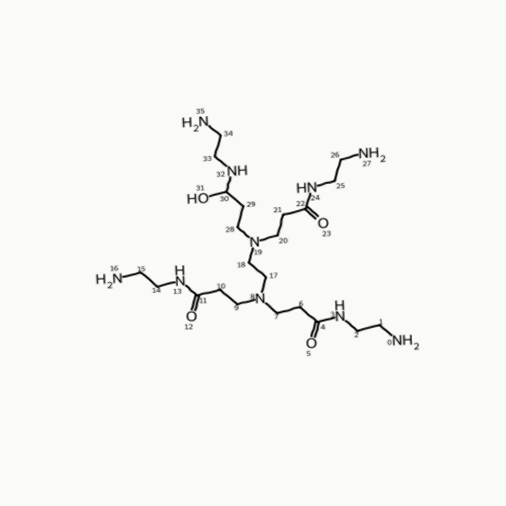 NCCNC(=O)CCN(CCC(=O)NCCN)CCN(CCC(=O)NCCN)CCC(O)NCCN